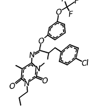 CCCn1c(=O)c(C)c(/N=C(/Oc2cccc(OC(F)(F)F)c2)C(C)Cc2ccc(Cl)cc2)n(C)c1=O